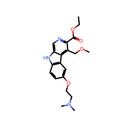 CCOC(=O)c1ncc2[nH]c3ccc(OCCN(C)C)cc3c2c1COC